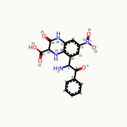 NC(C(=O)c1ccccc1)c1cc([N+](=O)[O-])cc2c1NC(C(=O)O)C(=O)N2